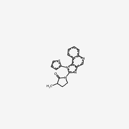 CC1CCN(c2nc3cnc4ccccc4c3n2-c2cccs2)C1=O